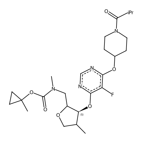 CC(C)C(=O)N1CCC(Oc2ncnc(O[C@H]3C(C)COC3CN(C)C(=O)OC3(C)CC3)c2F)CC1